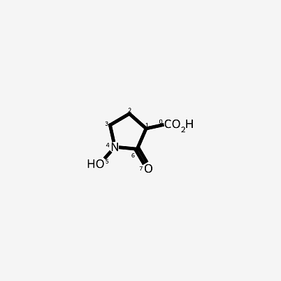 O=C(O)C1CCN(O)C1=O